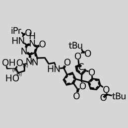 CC(C)C(=O)Nc1nc2c(c(CCCNC(=O)c3ccc4c(c3)C3(OC4=O)c4ccc(OC(=O)C(C)(C)C)cc4Oc4cc(OC(=O)C(C)(C)C)ccc43)nn2[C@H]2C[C@H](O)[C@@H](CO)O2)c(=O)[nH]1